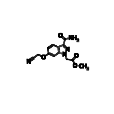 COC(=O)Cn1nc(C(N)=O)c2ccc(OCC#N)cc21